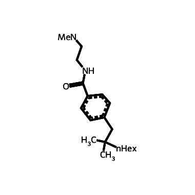 CCCCCCC(C)(C)Cc1ccc(C(=O)NCCNC)cc1